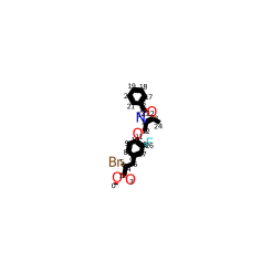 COC(=O)C(Br)Cc1ccc(OCc2nc(-c3ccccc3)oc2C)c(F)c1